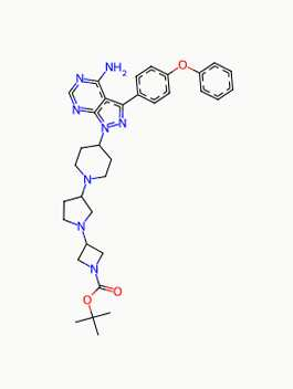 CC(C)(C)OC(=O)N1CC(N2CCC(N3CCC(n4nc(-c5ccc(Oc6ccccc6)cc5)c5c(N)ncnc54)CC3)C2)C1